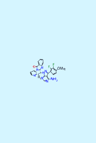 COc1ccc(-c2nn(C(C)c3nc4ccccc4c(=O)n3-c3cccnc3)c3ncnc(N)c23)c(F)c1F